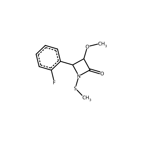 COC1C(=O)N(SC)C1c1ccccc1F